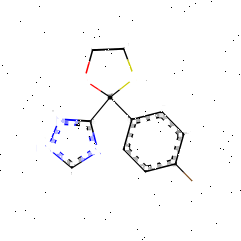 Brc1ccc(C2(c3nc[nH]n3)OCCS2)cc1